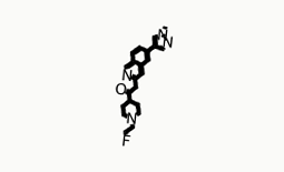 Cn1cc(-c2ccc3cnc(CC(=O)C4CCN(CCF)CC4)cc3c2)cn1